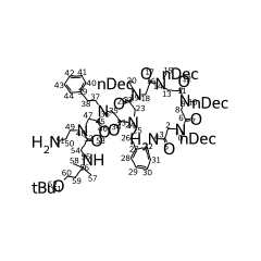 CCCCCCCCCCN(CC(N)=O)C(=O)CN(CCCCCCCCCC)C(=O)CN(CCCCCCCCCC)C(=O)CN(CCCCCCCCCC)C(=O)CN(CCc1ccccc1)C(=O)CN(CCc1ccccc1)C(=O)CN(CCN)C(=O)CNC(C)(C)CCOC(C)(C)C